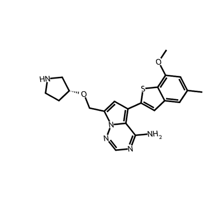 COc1cc(C)cc2cc(-c3cc(CO[C@@H]4CCNC4)n4ncnc(N)c34)sc12